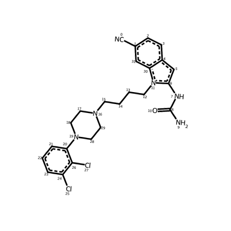 N#Cc1ccc2cc(NC(N)=O)n(CCCCN3CCN(c4cccc(Cl)c4Cl)CC3)c2c1